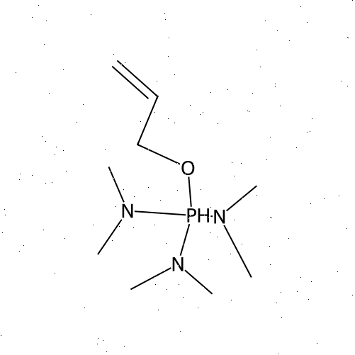 C=CCO[PH](N(C)C)(N(C)C)N(C)C